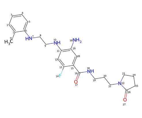 Cc1ccccc1NCCNc1cc(F)c(C(=O)NCCCN2CCCC2=O)cc1N